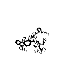 C=C1C[C@]2(CCc3c(nc(OC[C@@H]4CCCN4C)nc3N3CCN(C(=O)O)[C@@H](CC#N)C3)C2=O)Cc2ccccc21